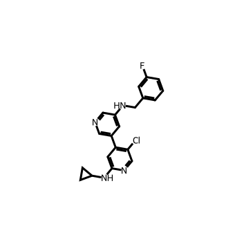 Fc1cccc(CNc2cncc(-c3cc(NC4CC4)ncc3Cl)c2)c1